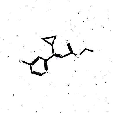 CCOC(=O)/C=C(/c1cc(Cl)ccn1)C1CC1